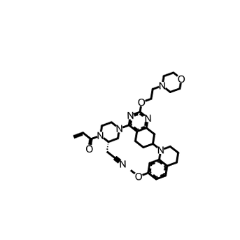 C=CC(=O)N1CCN(c2nc(OCCN3CCOCC3)nc3c2CCC(N2CCCc4ccc(OC)cc42)C3)C[C@@H]1CC#N